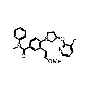 COC=Cc1cc(C(=O)N(C)c2ccccc2)ccc1N1CCC(Oc2ncccc2Cl)C1